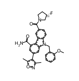 COc1ccccc1Cn1c2ccc(C(=O)N3CC[C@H](F)C3)cc2c2c(C(N)=O)cc(-c3c(C)noc3C)cc21